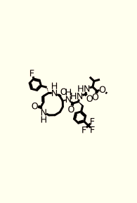 COC(=O)C(NC(=O)N[C@@H](Cc1cccc(C(F)(F)F)c1)C(=O)N[C@H]1CCCCNC(=O)/C=C/[C@H](Cc2cccc(F)c2)NC1=O)C(C)C